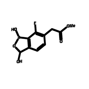 COC(=O)Cc1ccc2c(c1F)B(O)OC2O